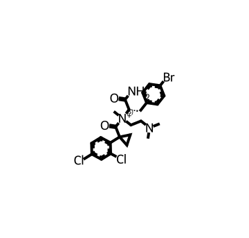 CN(C)CC[N+](C)(C(=O)C1(c2ccc(Cl)cc2Cl)CC1)[C@@H](Cc1ccc(Br)cc1)C(N)=O